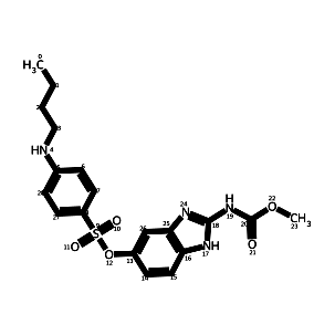 CCCCNc1ccc(S(=O)(=O)Oc2ccc3[nH]c(NC(=O)OC)nc3c2)cc1